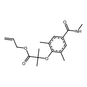 C=CCOC(=O)C(C)(C)Oc1c(C)cc(C(=O)NC)cc1C